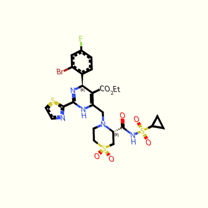 CCOC(=O)C1=C(CN2CCS(=O)(=O)C[C@H]2C(=O)NS(=O)(=O)C2CC2)NC(c2nccs2)=N[C@H]1c1ccc(F)cc1Br